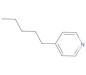 CCCCCc1ccncc1